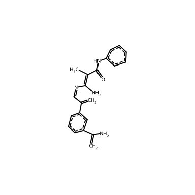 C=C(N)c1cccc(C(=C)/C=N\C(N)=C(/C)C(=O)Nc2ccccc2)c1